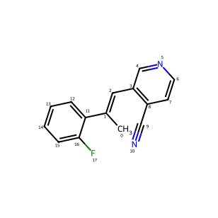 CC(=Cc1cnccc1C#N)c1ccccc1F